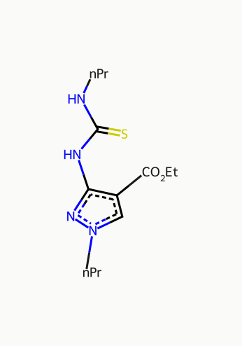 CCCNC(=S)Nc1nn(CCC)cc1C(=O)OCC